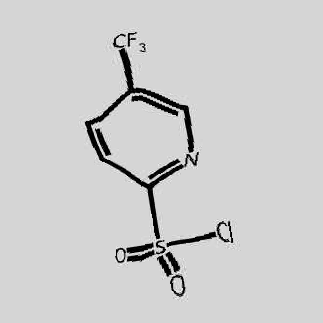 O=S(=O)(Cl)c1ccc(C(F)(F)F)cn1